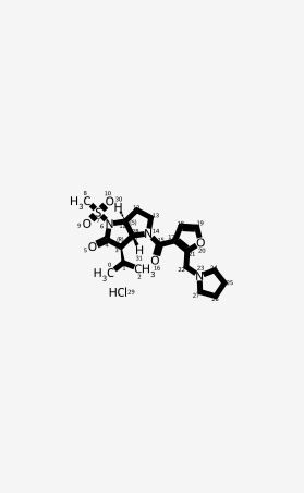 CC(C)[C@H]1C(=O)N(S(C)(=O)=O)[C@H]2CCN(C(=O)c3ccoc3CN3CCCC3)[C@H]12.Cl